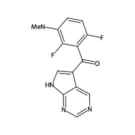 CNc1ccc(F)c(C(=O)c2c[nH]c3ncncc23)c1F